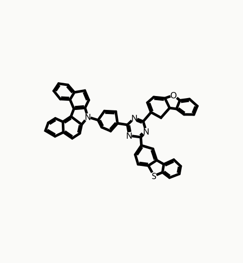 C1=C(c2nc(-c3ccc(-n4c5ccc6ccccc6c5c5c6ccccc6ccc54)cc3)nc(-c3ccc4sc5ccccc5c4c3)n2)CC2C(=C1)Oc1ccccc12